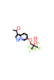 CC(=O)c1cnn2cc(OCC(O)(C(F)(F)F)C(F)(F)F)ccc12